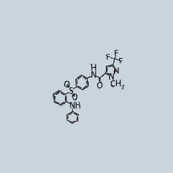 Cn1nc(C(F)(F)F)cc1C(=O)Nc1ccc(S(=O)(=O)c2ccccc2Nc2ccccc2)cc1